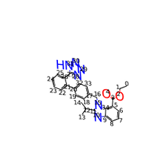 CCOC(=O)c1cccc2nc(C(C)C)n(Cc3ccc(-c4ccccc4-c4nnn[nH]4)cc3)c12